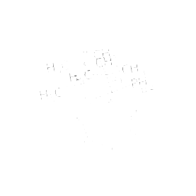 CC(C)(C)C1CCCCCC1(P)C(C)(C)C